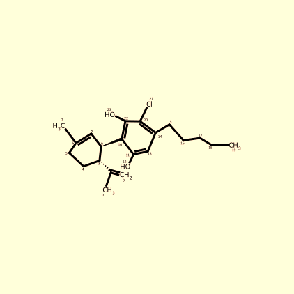 C=C(C)[C@@H]1CCC(C)=C[C@H]1c1c(O)cc(CCCCC)c(Cl)c1O